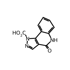 O=C(O)n1ncc2c(=O)[nH]c3ccccc3c21